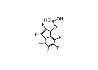 OB(O)OC1C(F)=C(F)c2c(F)c(F)c(F)c(F)c21